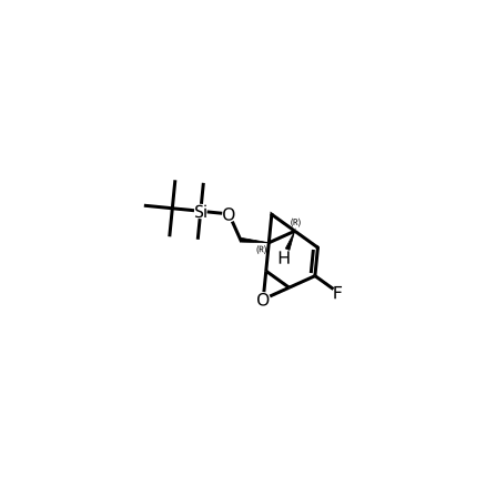 CC(C)(C)[Si](C)(C)OC[C@@]12C[C@@H]1C=C(F)C1OC12